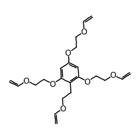 C=COCCOc1cc(OCCOC=C)c(CCOC=C)c(OCCOC=C)c1